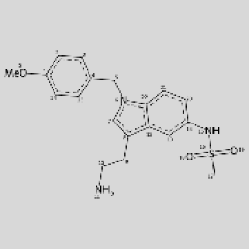 COc1ccc(Cn2cc(CCN)c3cc(NS(C)(=O)=O)ccc32)cc1